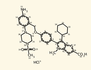 Cl.Cn1c(-c2ccc(OCc3cc(N)ccc3N3CCN(S(C)(=O)=O)CC3)cc2)c(C2CCCCC2)c2sc(C(=O)O)cc21